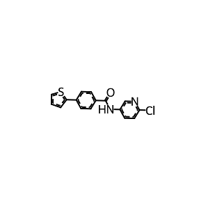 O=C(Nc1ccc(Cl)nc1)c1ccc(-c2cccs2)cc1